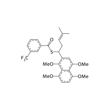 COc1ccc(OC)c2c(OC)c(C(CC=C(C)C)SC(=O)c3cccc(C(F)(F)F)c3)cc(OC)c12